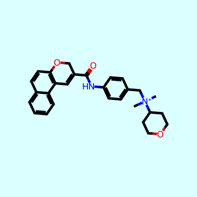 C[N+](C)(Cc1ccc(NC(=O)C2=Cc3c(ccc4ccccc34)OC2)cc1)C1CCOCC1